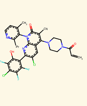 C=CC(=O)N1CCN(c2c(C#N)c(=O)n(-c3c(C)ccnc3C(C)C)c3nc(-c4c(O)c(F)c(Cl)c(F)c4F)c(Cl)cc23)CC1